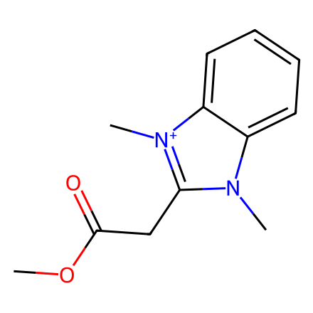 COC(=O)Cc1n(C)c2ccccc2[n+]1C